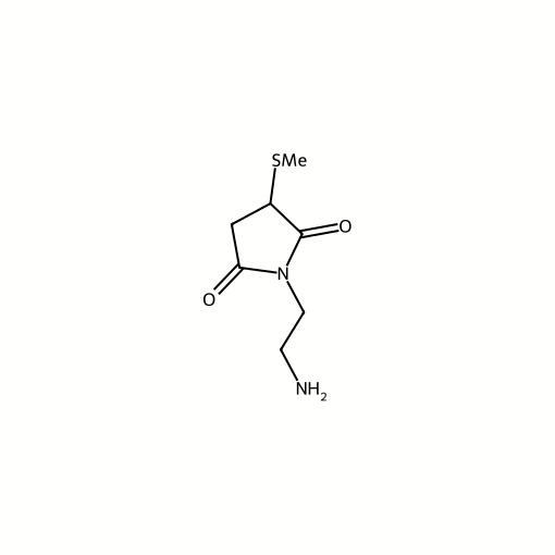 CSC1CC(=O)N(CCN)C1=O